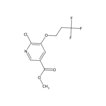 COC(=O)c1cnc(Cl)c(OCCC(F)(F)F)c1